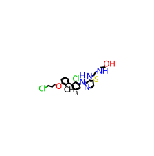 Cc1c(OCCCCl)cccc1-c1cccc(Nc2nccc3sc(CNCCO)nc23)c1Cl